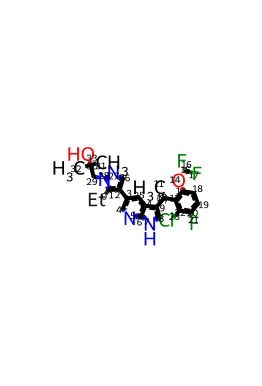 CCc1c(-c2cnc3[nH]cc([C@H](C)c4c(OC(F)F)ccc(F)c4Cl)c3c2)cnn1CC(C)(C)O